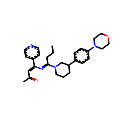 CCC/C(=N\C(=C/C(C)=O)c1ccncc1)N1CCCC(c2ccc(N3CCOCC3)cc2)C1